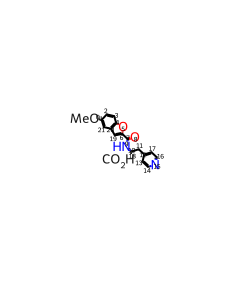 COc1ccc2oc(C(=O)NC(Cc3ccncc3)C(=O)O)cc2c1